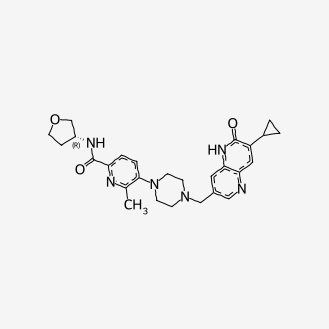 Cc1nc(C(=O)N[C@@H]2CCOC2)ccc1N1CCN(Cc2cnc3cc(C4CC4)c(=O)[nH]c3c2)CC1